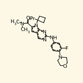 CC(C)C1(n2c(C(=O)N(C)C)cc3cnc(Nc4ccc(N5CCOCC5)c(F)c4)nc32)CCC1